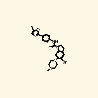 Cc1cnc(-c2ccc(NC(=O)N3CCc4cc(Br)c(N5CCN(C)CC5)cc43)cc2)o1